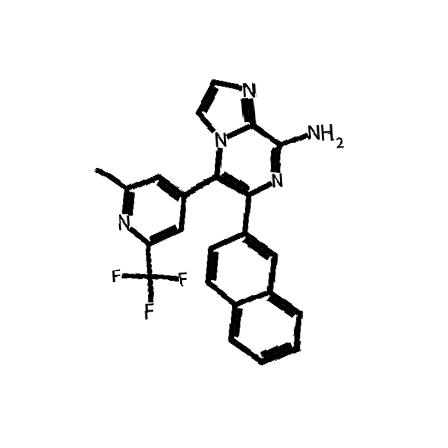 Cc1cc(-c2c(-c3ccc4ccccc4c3)nc(N)c3nccn23)cc(C(F)(F)F)n1